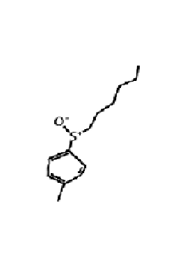 CCCCCC[S+]([O-])c1ccc(C)cc1